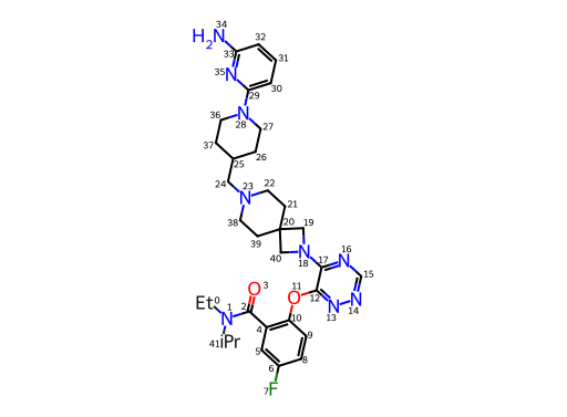 CCN(C(=O)c1cc(F)ccc1Oc1nncnc1N1CC2(CCN(CC3CCN(c4cccc(N)n4)CC3)CC2)C1)C(C)C